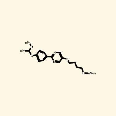 CCCCCCCCCOCCCCOc1cnc(-c2ccc(OC(CCC)OCCC)cc2)nc1